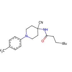 Cc1ccc(N2CCC(C#N)(NC(=O)CCC(C)(C)C)CC2)cc1